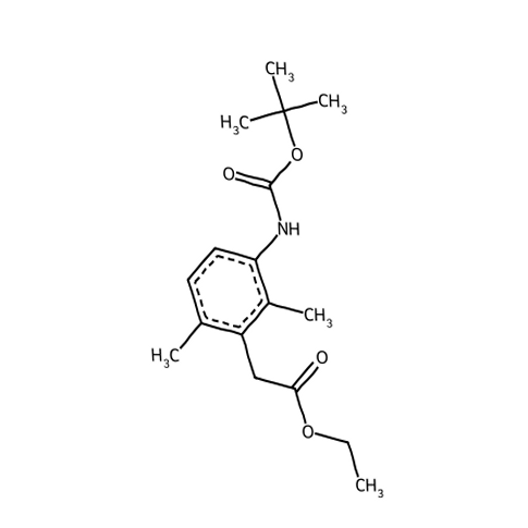 CCOC(=O)Cc1c(C)ccc(NC(=O)OC(C)(C)C)c1C